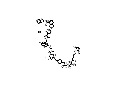 Cc1c(-c2ccc(N3CCc4cccc(C(=O)Nc5nc6ccccc6s5)c4C3)nc2C(=O)O)cnn1CC12CC3(C)CC(C)(C1)CC(OCCN(C)C(=O)[C@H](CS(=O)(=O)O)NC(=O)OCc1ccc(NC(=O)[C@H](C)NC(=O)[C@@H](NC(=O)CCCCCN4C(=O)C=CC4=O)C(C)C)cc1)(C3)C2